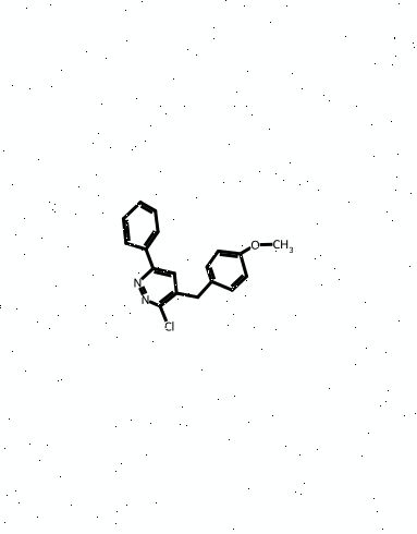 COc1ccc(Cc2cc(-c3ccccc3)nnc2Cl)cc1